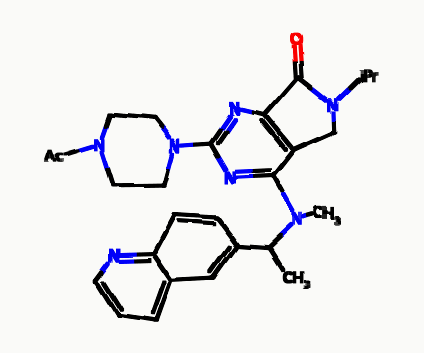 CC(=O)N1CCN(c2nc3c(c(N(C)C(C)c4ccc5ncccc5c4)n2)CN(C(C)C)C3=O)CC1